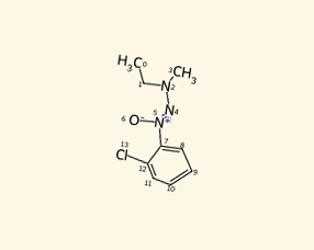 CCN(C)/N=[N+](\[O-])c1ccccc1Cl